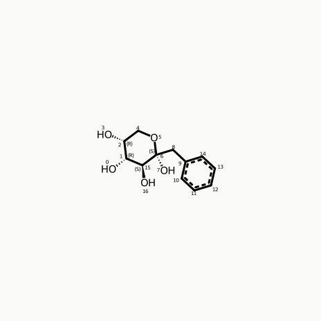 O[C@@H]1[C@H](O)CO[C@@](O)(Cc2ccccc2)[C@H]1O